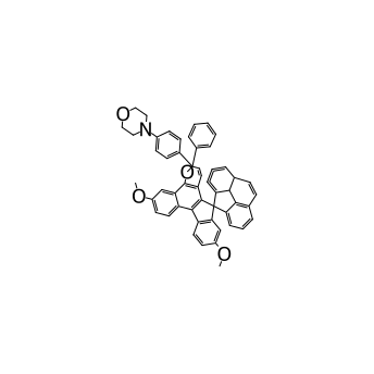 COc1ccc2c(c1)C1(C3=C=C=CC4C=Cc5cccc1c5C34)c1c3c(c4cc(OC)ccc4c1-2)OC(c1ccccc1)(c1ccc(N2CCOCC2)cc1)C=C3